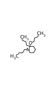 CCCCOC1(CCCC)CCCCN1CCCC